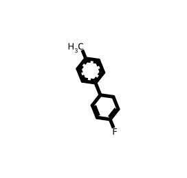 Cc1ccc(C2C=CC(F)=CC2)cc1